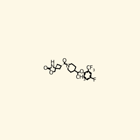 CC(Oc1ccc(F)cc1C(F)(F)F)C1CCN(C(=O)[C@H]2C[C@]3(COC(=O)N3)C2)CC1